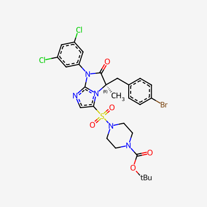 CC(C)(C)OC(=O)N1CCN(S(=O)(=O)c2cnc3n2[C@](C)(Cc2ccc(Br)cc2)C(=O)N3c2cc(Cl)cc(Cl)c2)CC1